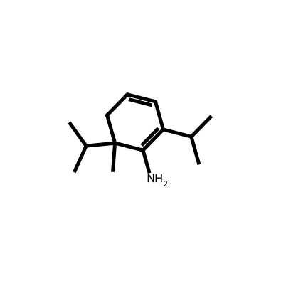 CC(C)C1=C(N)C(C)(C(C)C)CC=C1